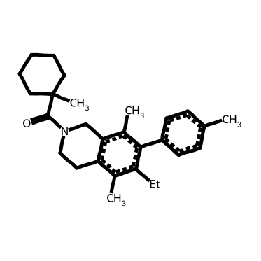 CCc1c(C)c2c(c(C)c1-c1ccc(C)cc1)CN(C(=O)C1(C)CCCCC1)CC2